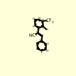 Cc1c(C(C#N)=Cc2ccccc2)cccc1C(F)(F)F